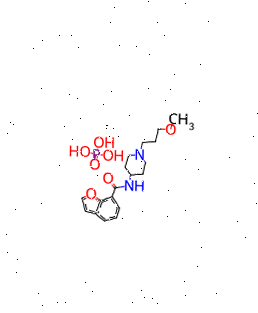 COCCCN1CCC(NC(=O)c2cccc3ccoc23)CC1.O=P(O)(O)O